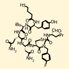 CC[C@H](C)[C@H](NC(=O)[C@H](Cc1ccc(O)cc1)NC(=O)CCCS)C(=O)N[C@@H](CCC(N)=O)C(=O)N[C@@H](CC(N)=O)C(=O)N[C@@H](CS)C(=O)N(CC(=O)N[C@H]([C]=O)CC(C)C)Cc1ccc(F)cc1